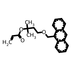 C=CC(=O)OC(C)(C)CCOCc1c2ccccc2cc2ccccc12